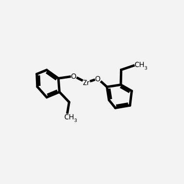 CCc1ccccc1[O][Zr][O]c1ccccc1CC